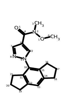 CON(C)C(=O)c1cnn(-c2c3c(cc4c2CCC4)CCC3)c1